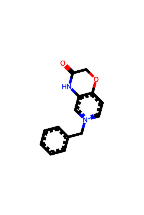 O=C1COc2cc[n+](Cc3ccccc3)cc2N1